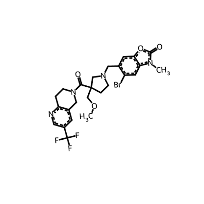 COCC1(C(=O)N2CCc3ncc(C(F)(F)F)cc3C2)CCN(Cc2cc3oc(=O)n(C)c3cc2Br)C1